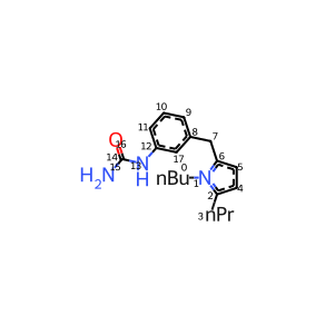 CCCCn1c(CCC)ccc1Cc1cccc(NC(N)=O)c1